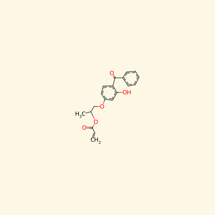 C=CC(=O)OC(C)COc1ccc(C(=O)c2ccccc2)c(O)c1